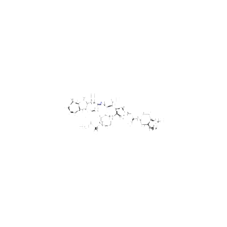 C=N/C(=N\C=C(/C)c1cn(CC(=O)N2CCc3[nH]nnc3C2)nc1N1CCN(C(=O)CO)CC1)NC1Cc2ccccc2C1